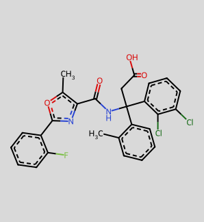 Cc1ccccc1C(CC(=O)O)(NC(=O)c1nc(-c2ccccc2F)oc1C)c1cccc(Cl)c1Cl